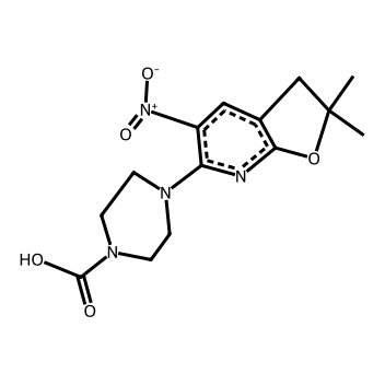 CC1(C)Cc2cc([N+](=O)[O-])c(N3CCN(C(=O)O)CC3)nc2O1